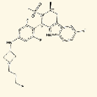 C[C@H]1Cc2c([nH]c3ccc(F)cc23)[C@H](c2c(F)cc(NC3CN(CCCF)C3)cc2F)N1S(C)(=O)=O